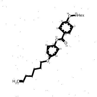 C=CCCCCCOc1ccc(OC(=O)c2ccc(OCCCCCC)cc2)cc1